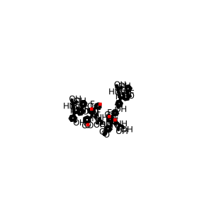 CS(=O)(=O)c1ccc(-c2nc(NC(CO)CO)nc3c2ccc(=O)n3-c2c(F)cccc2F)cc1.CS(=O)(=O)c1cccc(-c2nc(NC(CO)CO)nc3c2ccc(=O)n3-c2c(F)cccc2F)c1.O=c1ccc2c(-c3ccc(O)cc3)nc(NC(CO)CO)nc2n1-c1c(F)cccc1F.O=c1ccc2c(-c3cccc(O)c3)nc(NC(CO)CO)nc2n1-c1c(F)cccc1F